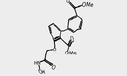 COC(=O)c1cccc(-c2cccc(OCC(=O)NO)c2C(=O)OC)c1